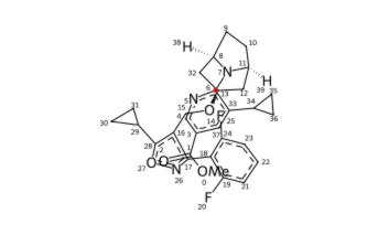 COC(=O)c1cnc(N2[C@@H]3CC[C@H]2C[C@@H](OCc2c(-c4c(F)cccc4F)noc2C2CC2)C3)c(C2CC2)c1